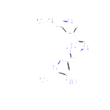 CNCc1cncc(-c2cnc3sc(-c4cnc(OC)c(N)c4)nn23)c1